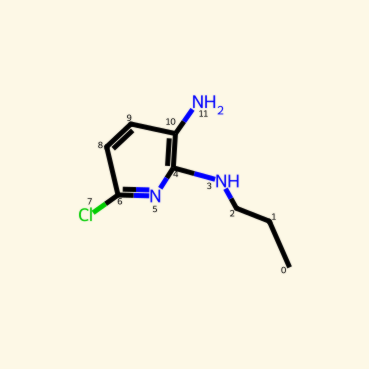 CCCNc1nc(Cl)ccc1N